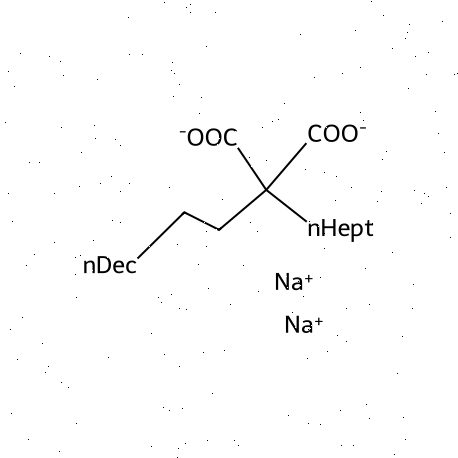 CCCCCCCCCCCCC(CCCCCCC)(C(=O)[O-])C(=O)[O-].[Na+].[Na+]